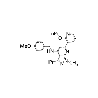 CCCOc1ncccc1-c1cc(NCc2ccc(OC)cc2)c2c(C(C)C)nn(C)c2n1